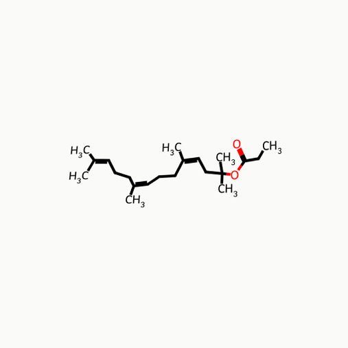 CCC(=O)OC(C)(C)CC=C(C)CCC=C(C)CCC=C(C)C